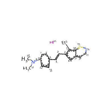 CCc1c(C=Cc2ccc(N(C)C)cc2)cc2ccnsc1-2.I